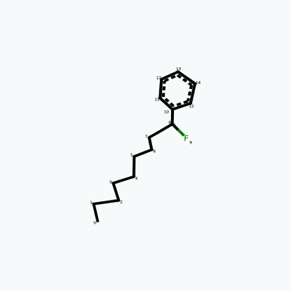 CCCCCCCC[C](F)c1ccccc1